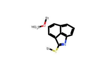 CCOS(=O)(=O)O.CCSC1=Nc2cccc3cccc1c23